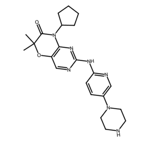 CC1(C)Oc2cnc(Nc3ccc(N4CCNCC4)cn3)nc2N(C2CCCC2)C1=O